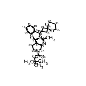 Cc1nc2c(c(=O)n1C(c1ccccc1)C1CC3(C1)OCCCO3)CCN(C(=O)OC(C)(C)C)C2